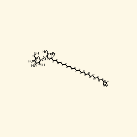 CCC[C@@H](O)[C@H](COC1OC(CO)C(O)C(O)C1O)NC(=O)CCCCCCCCCCCCCCCCCCCCCCC1COC1